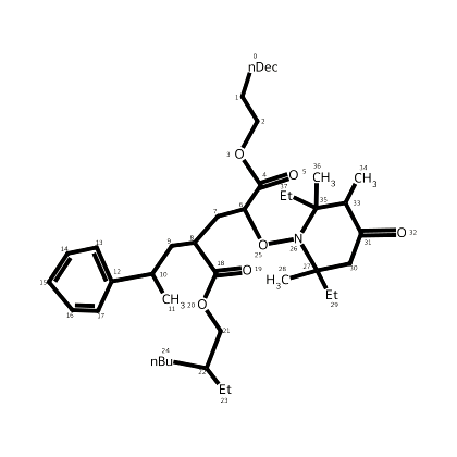 CCCCCCCCCCCCOC(=O)C(CC(CC(C)c1ccccc1)C(=O)OCC(CC)CCCC)ON1C(C)(CC)CC(=O)C(C)C1(C)CC